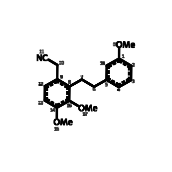 COc1cccc(CCc2c(CC#N)ccc(OC)c2OC)c1